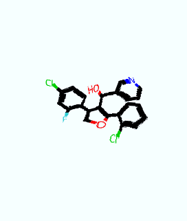 OC(C1=C(c2ccccc2Cl)OCC1c1ccc(Cl)cc1F)c1cccnc1